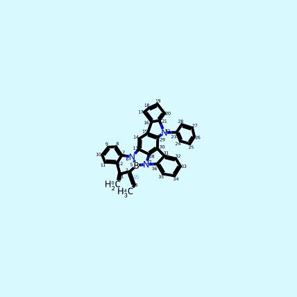 C=C1/C(=C\C)B2N(c3ccccc31)c1cc3c4ccccc4n(-c4ccccc4)c3c3c4ccccc4n2c13